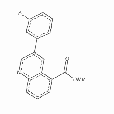 COC(=O)c1cccc2ncc(-c3cccc(F)c3)cc12